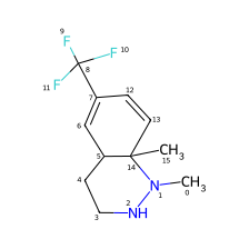 CN1NCCC2C=C(C(F)(F)F)C=CC21C